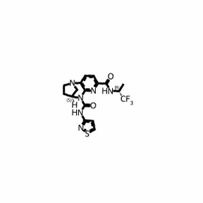 C[C@@H](NC(=O)c1ccc2c(n1)N(C(=O)Nc1ccsn1)[C@H]1CCN2C1)C(F)(F)F